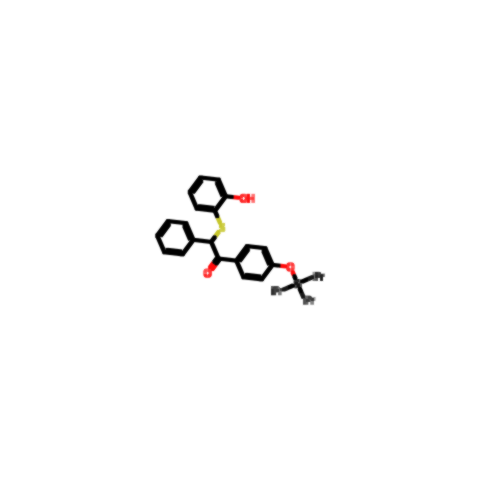 CC(C)[Si](Oc1ccc(C(=O)C(Sc2ccccc2O)c2ccccc2)cc1)(C(C)C)C(C)C